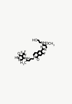 COc1cnc(-c2cc3ccn(CCC[C@H](C)Nc4cn[nH]c(=O)c4C(F)(F)F)c(=O)c3cc2F)nc1NCCO